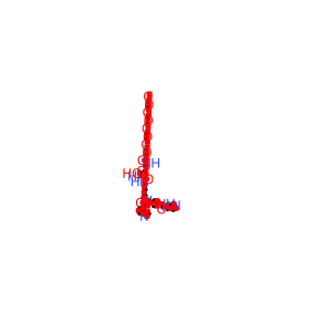 COCCOCCOCCOCCOCCOCCOCCOCCC(=O)NCCCCC(NC(=O)O)C(=O)NCCCCCCn1nc(-c2ccc(NC(=O)N3Cc4ccncc4C3)cc2)cc(-c2cccc3ncccc23)c1=O